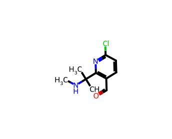 CNC(C)(C)c1nc(Cl)ccc1C=O